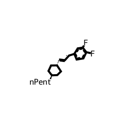 CCCCC[C@H]1CC[C@H](/C=C/[CH]c2ccc(F)c(F)c2)CC1